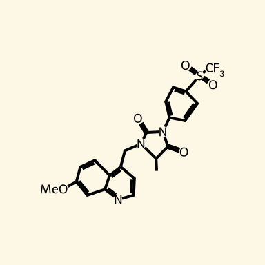 COc1ccc2c(CN3C(=O)N(c4ccc(S(=O)(=O)C(F)(F)F)cc4)C(=O)C3C)ccnc2c1